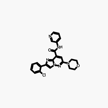 O=C(Nc1cccnc1)c1cc(N2CCOCC2)nn2cc(-c3ccccc3Cl)nc12